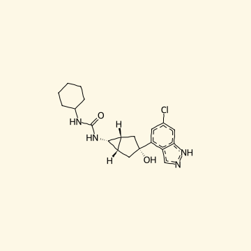 O=C(NC1CCCCC1)N[C@@H]1[C@@H]2C[C@@](O)(c3cc(Cl)cc4[nH]ncc34)C[C@@H]21